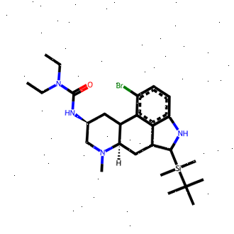 CCN(CC)C(=O)N[C@H]1CC2c3c(Br)ccc4c3C(C[C@H]2N(C)C1)C([Si](C)(C)C(C)(C)C)N4